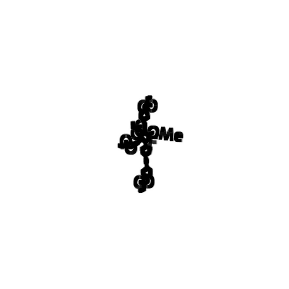 C=CC(=O)OC#Cc1c(OC(=O)C=C)c(C#Cc2ccc(OC(=O)C=C)cc2)c(OC)c(F)c1-c1ccc(C#Cc2ccc(OC(=O)C=C)cc2)cc1